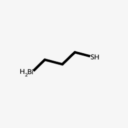 SCC[CH2][BiH2]